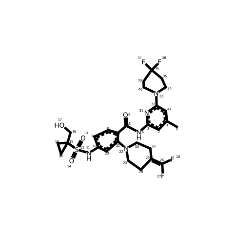 Cc1cc(NC(=O)c2ccc(NS(=O)(=O)C3(CO)CC3)cc2N2CCC(=C(F)F)CC2)nc(N2CCC(F)(F)CC2)c1